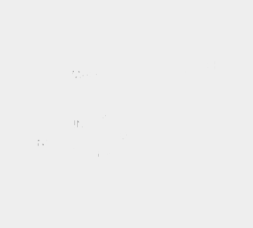 COC(C(=O)NC(C)(C#N)C(C)C)c1ccc(Cl)cc1